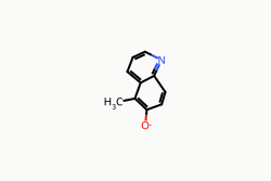 Cc1c([O])ccc2ncccc12